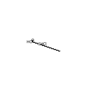 CCCCCCCCCCCCCCCCCCSCCCCCC(=O)O.Cl